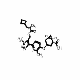 Cc1nc(-c2nnn(C)c2COC(=O)N(C)CC2CCC2)ccc1O[C@H]1C[C@H]2C[C@H]2[C@@H](C(=O)O)C1